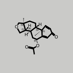 CC(=O)O[C@@H]1C[C@H]2[C@@H]3COC[C@@]3(C)CC[C@@H]2[C@@]2(C)C=CC(=O)C=C12